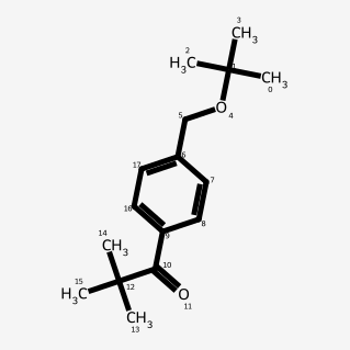 CC(C)(C)OCc1ccc(C(=O)C(C)(C)C)cc1